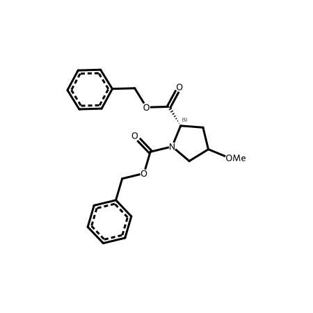 COC1C[C@@H](C(=O)OCc2ccccc2)N(C(=O)OCc2ccccc2)C1